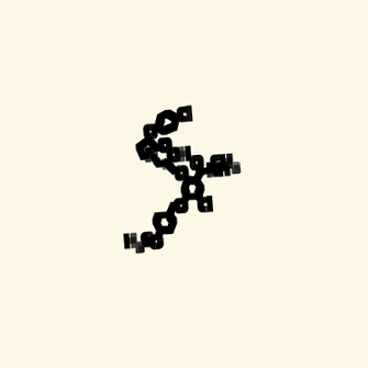 CNC(=O)c1cc(Cl)c(OCc2ccc(OC)cc2)cc1OC[C@H](O)CN1CCC(Oc2ccc(Cl)cc2)C1=O